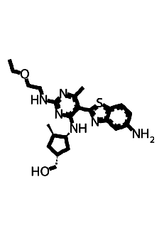 CCOCCNc1nc(C)c(-c2nc3cc(N)ccc3s2)c(N[C@@H]2C[C@H](CO)C[C@H]2C)n1